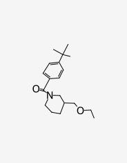 CCOCC1CCCN(C(=O)c2ccc(C(C)(C)C)cc2)C1